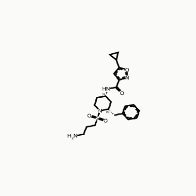 NCCCS(=O)(=O)N1CC[C@H](NC(=O)c2cc(C3CC3)on2)C[C@@H]1Cc1ccccc1